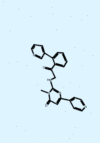 Cn1c(NCC(=O)c2ccccc2-c2cccnc2)nc(-c2ccncc2)cc1=O